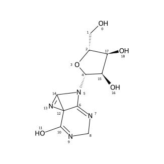 OC[C@H]1O[C@@H](N2C3=NCN=C(O)C34N=C24)[C@H](O)[C@@H]1O